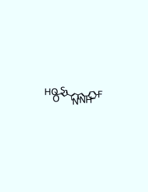 O=C(O)c1cc(-c2cnc3[nH]c(-c4ccc(F)cc4)cc3c2)cs1